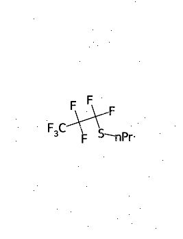 CC[CH]SC(F)(F)C(F)(F)C(F)(F)F